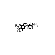 Cc1cc2c(ccn2-c2ncnc(N)c2Cl)c(CC(C)C)c1C(=O)N(C)C